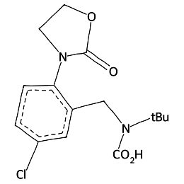 CC(C)(C)N(Cc1cc(Cl)ccc1N1CCOC1=O)C(=O)O